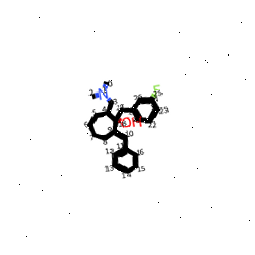 CN(C)CC1CCCCC(=Cc2ccccc2)C1(O)Cc1cccc(F)c1